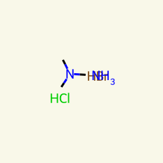 Br.CN(C)C.Cl.N